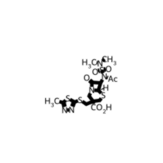 CC(=O)N(C1C(=O)N2CC(CSc3nnc(C)s3)(C(=O)O)CS[C@H]12)S(=O)(=O)N(C)C